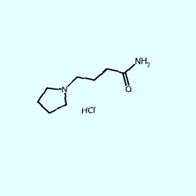 Cl.NC(=O)CCCN1CCCC1